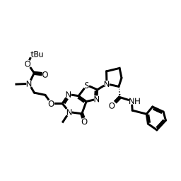 CN(CCOc1nc2sc(N3CCC[C@@H]3C(=O)NCc3ccccc3)nc2c(=O)n1C)C(=O)OC(C)(C)C